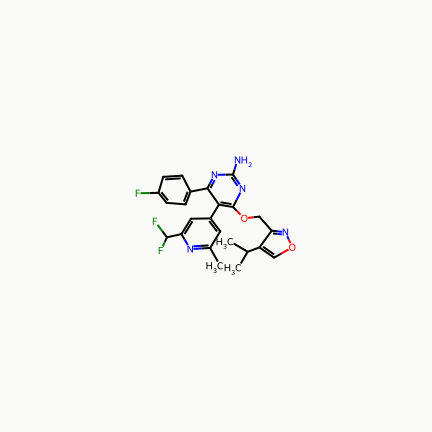 Cc1cc(-c2c(OCc3nocc3C(C)C)nc(N)nc2-c2ccc(F)cc2)cc(C(F)F)n1